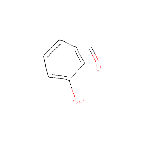 Oc1ccccc1.[CH]=O